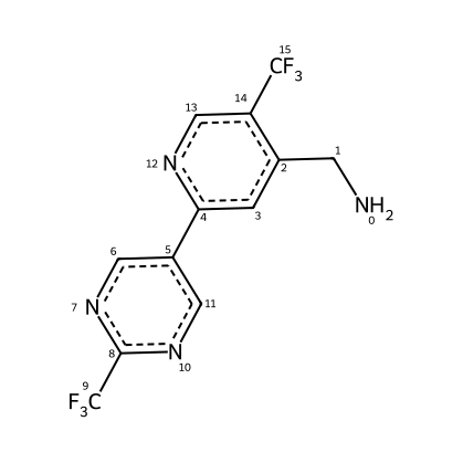 NCc1cc(-c2cnc(C(F)(F)F)nc2)ncc1C(F)(F)F